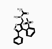 CS(=O)(=O)c1ccccc1-c1c(-c2ccccc2)noc1CN(O)C(N)=O